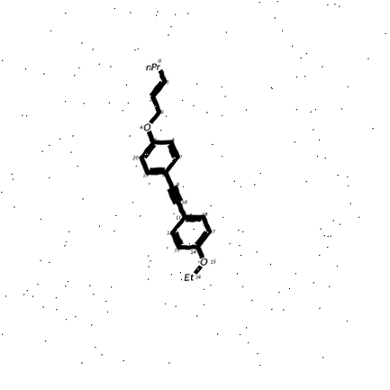 CCCC=CCOc1ccc(C#Cc2ccc(OCC)cc2)cc1